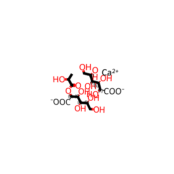 CC(O)C(=O)O[C@@H](C(=O)[O-])[C@@H](O)[C@H](O)[C@H](O)CO.O=C([O-])[C@H](O)[C@@H](O)[C@H](O)[C@H](O)CO.[Ca+2]